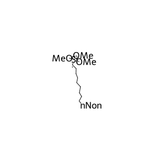 CCCCCCCCCCCCCCCCC[CH][Si](OC)(OC)OC